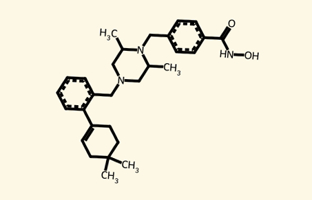 CC1CN(Cc2ccccc2C2=CCC(C)(C)CC2)CC(C)N1Cc1ccc(C(=O)NO)cc1